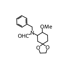 COC1CCC2(CC1N(C=O)Cc1ccccc1)OCCO2